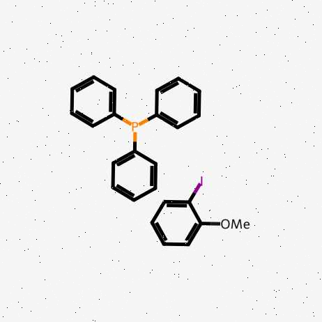 COc1ccccc1I.c1ccc(P(c2ccccc2)c2ccccc2)cc1